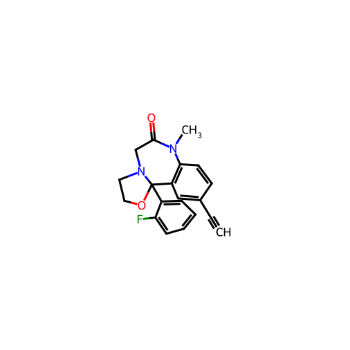 C#Cc1ccc2c(c1)C1(c3ccccc3F)OCCN1CC(=O)N2C